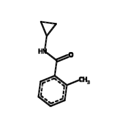 Cc1ccccc1C(=O)NC1CC1